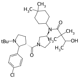 CC(O)C(C)(C)C(=O)N(C1CCC(C)(C)CC1)[C@H]1CCN(C(=O)[C@H]2CCN(C(C)(C)C)C2c2ccc(Cl)cc2)C1